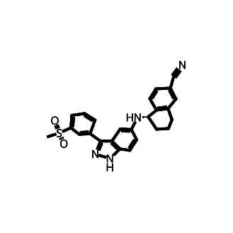 CS(=O)(=O)c1cccc(-c2n[nH]c3ccc(N[C@H]4CCCc5cc(C#N)ccc54)cc23)c1